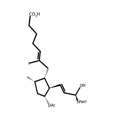 CCCCC[C@H](O)/C=C/[C@@H]1[C@@H](C/C(I)=C/CCCC(=O)O)[C@@H](C)C[C@H]1OC(C)=O